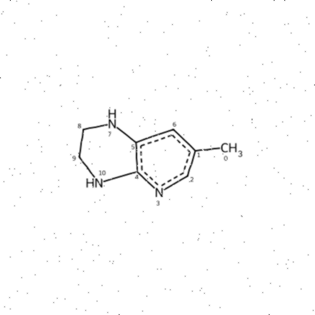 Cc1cnc2c(c1)NCCN2